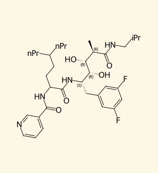 CCCC(CCC)CCC(NC(=O)c1cccnc1)C(=O)N[C@@H](Cc1cc(F)cc(F)c1)[C@@H](O)[C@H](O)[C@@H](C)C(=O)NCC(C)C